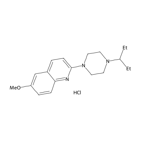 CCC(CC)N1CCN(c2ccc3cc(OC)ccc3n2)CC1.Cl